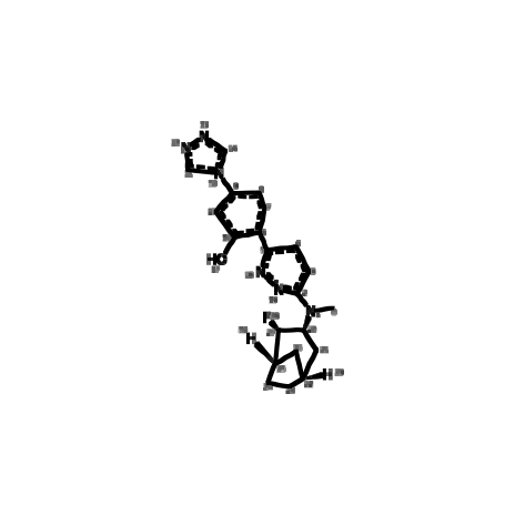 CN(c1ccc(-c2ccc(-n3cnnc3)cc2O)nn1)[C@H]1C[C@@H]2CC[C@@H](C2)[C@H]1F